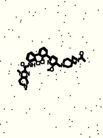 COc1nc(-c2cccc(-c3cccc(NC(=O)c4nc5c(n4C)CCN(C)C5)c3Cl)c2Cl)ccc1CN1CCC2(CC1)CN(C(C)=O)C2